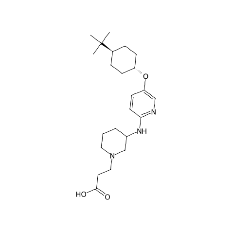 CC(C)(C)[C@H]1CC[C@H](Oc2ccc(NC3CCCN(CCC(=O)O)C3)nc2)CC1